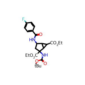 CCOC(=O)C1C2C(NC(=O)c3ccc(F)cc3)CC(NC(=O)OC(C)(C)C)(C(=O)OCC)C12